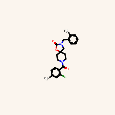 O=C1OC2(CCN(C(=O)c3ccc([N+](=O)[O-])cc3Cl)CC2)CN1Cc1ccccc1C(F)(F)F